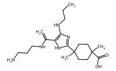 C=C(NCCCN)c1[nH]c(C2(C)CCC(C)(C(=O)O)CC2)nc1NCCC